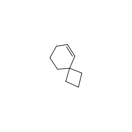 C1=CC2(CCC1)CCC2